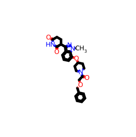 Cn1nc(C2CCC(=O)NC2=O)c2cccc(OC3CCN(C(=O)COCc4ccccc4)CC3)c21